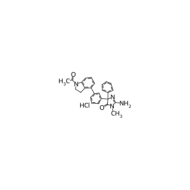 CC(=O)N1CCc2c(-c3cccc(C4(c5ccccc5)N=C(N)N(C)C4=O)c3)cccc21.Cl